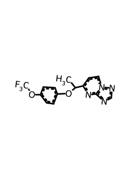 CC(Oc1ccc(OC(F)(F)F)cc1)c1ccn2ncnc2n1